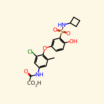 Cc1cc(NC(=O)C(=O)O)cc(Cl)c1Oc1ccc(O)c(S(=O)(=O)NC2CCC2)c1